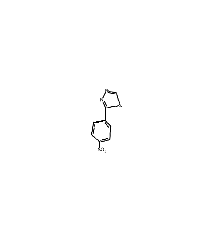 O=[N+]([O-])c1ccc(-c2nncs2)cc1